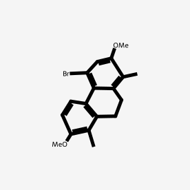 COc1ccc2c(c1C)CCc1c(C)c(OC)cc(Br)c1-2